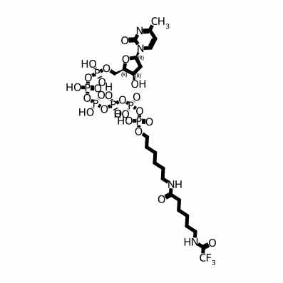 Cc1ccn([C@H]2C[C@@H](O)[C@@H](COP(=O)(O)OP(=O)(O)OP(=O)(O)OP(=O)(O)OP(=O)(O)OP(=O)(O)OCCCCCCNC(=O)CCCCCNC(=O)C(F)(F)F)O2)c(=O)n1